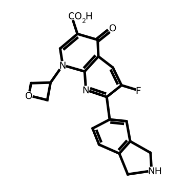 O=C(O)c1cn(C2COC2)c2nc(-c3ccc4c(c3)CNC4)c(F)cc2c1=O